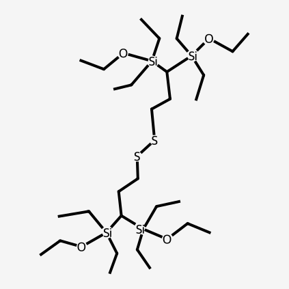 CCO[Si](CC)(CC)C(CCSSCCC([Si](CC)(CC)OCC)[Si](CC)(CC)OCC)[Si](CC)(CC)OCC